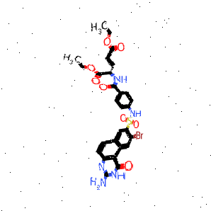 CCOC(=O)CC[C@H](NC(=O)c1ccc(NS(=O)(=O)c2cc3ccc4nc(N)[nH]c(=O)c4c3cc2Br)cc1)C(=O)OCC